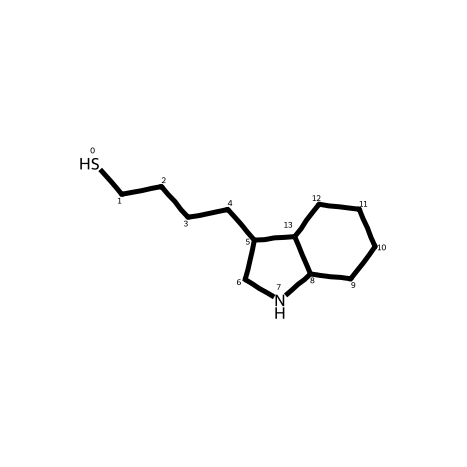 SCCCCC1CNC2CCCCC12